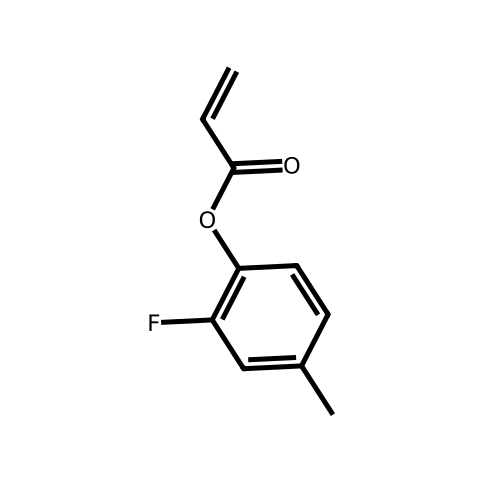 C=CC(=O)Oc1ccc(C)cc1F